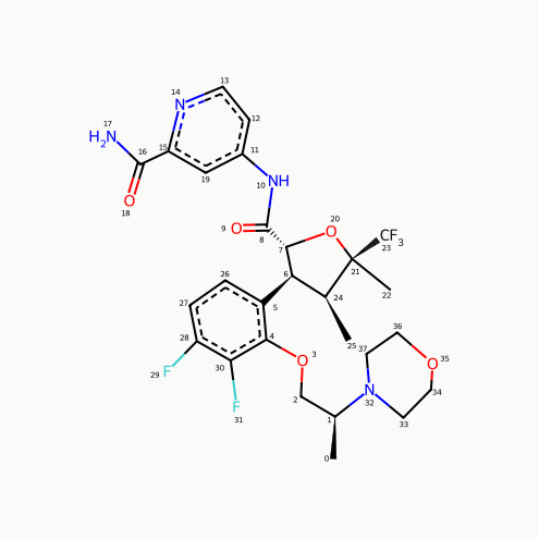 C[C@@H](COc1c([C@H]2[C@H](C(=O)Nc3ccnc(C(N)=O)c3)O[C@@](C)(C(F)(F)F)[C@H]2C)ccc(F)c1F)N1CCOCC1